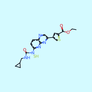 CCOC(=O)c1cc(-c2cnc3ccc(N(S)C(=O)NCC4CC4)nc3n2)cs1